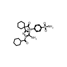 Nc1nc(C2(C(=O)Nc3ccc(S(N)(=O)=O)cc3)CCCCC2)nn1C(=O)C1CCCCC1